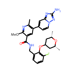 COc1nc(C)c(-c2ccn3nc(N)nc3c2)cc1C(=O)NCc1cccc(F)c1OC1C[C@@H](C)O[C@@H](C)C1